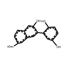 CCCCCCCCCCc1ccc2cc(O)c(-c3cc(O)ccc3O)cc2c1